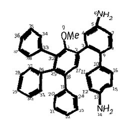 COc1c(-c2cc(N)ccc2-c2ccc(N)cc2)cc(-c2ccccc2)c(-c2ccccc2)c1-c1ccccc1